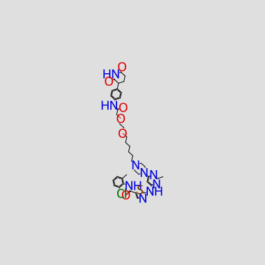 Cc1nc(Nc2ncc(C(=O)Nc3c(C)cccc3Cl)s2)cc(N2CCN(CCCCCCOCCOCC(=O)Nc3ccc(C4CCC(=O)NC4=O)cc3)CC2)n1